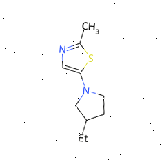 CCC1CCN(c2cnc(C)s2)C1